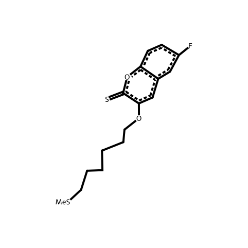 CSCCCCCCOc1cc2cc(F)ccc2oc1=S